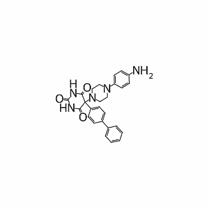 Nc1ccc(N2CCN(C3(c4ccc(-c5ccccc5)cc4)C(=O)NC(=O)NC3=O)CC2)cc1